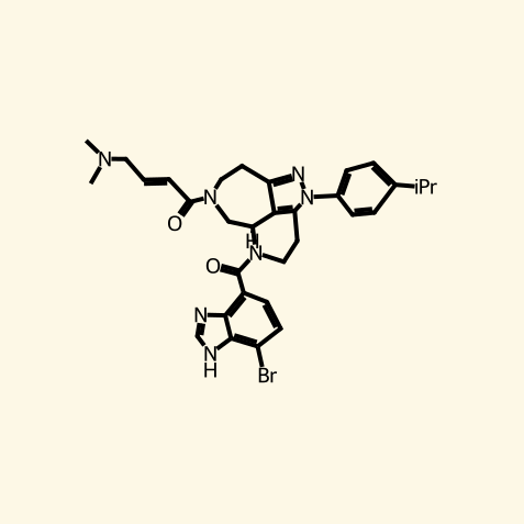 CC(C)c1ccc(-n2nc3c4c2CCN(C(=O)c2ccc(Br)c5[nH]cnc25)[C@H]4CN(C(=O)C=CCN(C)C)CC3)cc1